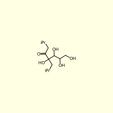 CC(C)CC(=O)C(O)(CC(C)C)C(O)C(O)CO